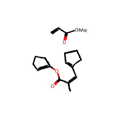 C=CC(=O)OC.CC(=CC1=CCCC1)C(=O)OC1=CCCC1